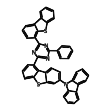 c1ccc(-c2nc(-c3cccc4c3sc3ccccc34)nc(-c3cccc4sc5cc(-n6c7ccccc7c7ccccc76)ccc5c34)n2)cc1